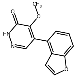 COc1c(-c2cccc3occc23)cn[nH]c1=O